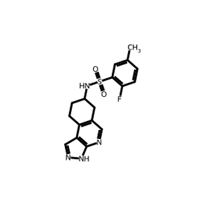 Cc1ccc(F)c(S(=O)(=O)NC2CCc3c(cnc4[nH]ncc34)C2)c1